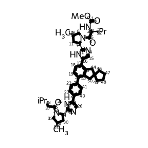 COC(=O)N[C@H](C(=O)N1C[C@@H](C)C[C@H]1c1ncc(-c2ccc(-c3ccc(-c4cnc([C@@H]5C[C@H](C)CN5C(=O)CC(C)C)[nH]4)cc3)c3c2CC2(CCCC2)C3)[nH]1)C(C)C